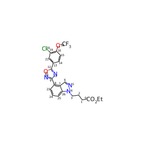 CCOC(=O)CCCn1ncc2c(-c3noc(-c4ccc(OC(F)(F)F)c(Cl)c4)n3)cccc21